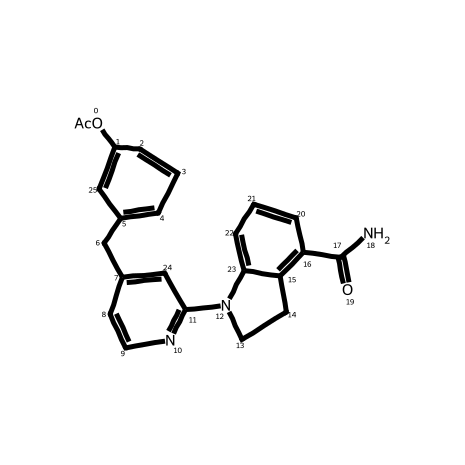 CC(=O)Oc1cccc(Cc2ccnc(N3CCc4c(C(N)=O)cccc43)c2)c1